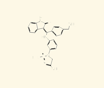 CS(=O)(=O)N(CC(N)=O)c1cccc(NC(=C2C(=O)Nc3ccccc32)c2ccc(CN)cc2)c1